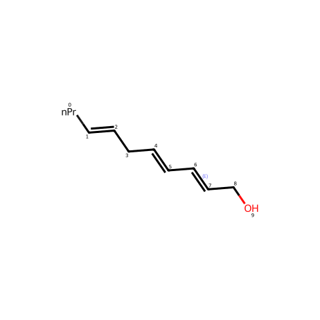 CCCC=CCC=C/C=C/CO